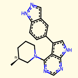 C[C@H]1CCCN(c2ncnc3[nH]cc(-c4ccc5[nH]ncc5c4)c23)C1